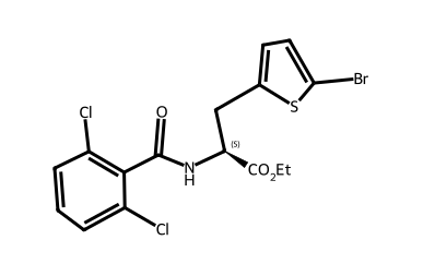 CCOC(=O)[C@H](Cc1ccc(Br)s1)NC(=O)c1c(Cl)cccc1Cl